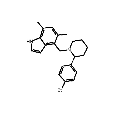 CCc1ccc(C2CCCCN2Cc2c(C)cc(C)c3[nH]ccc23)cc1